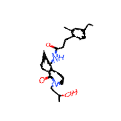 Cc1ccc(CCC(=O)Nc2cccc3c(=O)n(CC(C)O)ccc23)c(C)c1